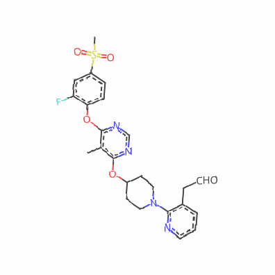 Cc1c(Oc2ccc(S(C)(=O)=O)cc2F)ncnc1OC1CCN(c2ncccc2CC=O)CC1